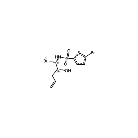 C=CC[C@@H](O)[C@H](NS(=O)(=O)c1ccc(Br)s1)[C@@H](C)CC